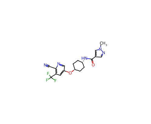 Cn1cc(C(=O)N[C@H]2CC[C@H](Oc3cnc(C#N)c(C(F)(F)F)c3)CC2)cn1